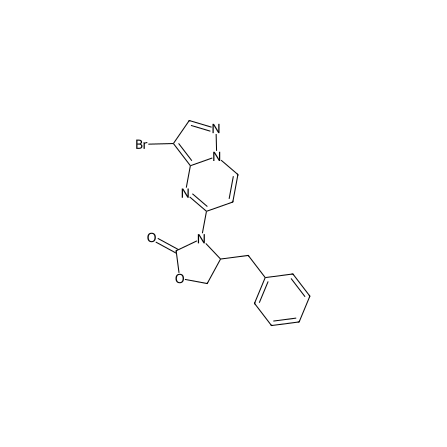 O=C1OCC(Cc2ccccc2)N1c1ccn2ncc(Br)c2n1